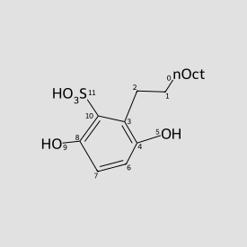 CCCCCCCCCCc1c(O)ccc(O)c1S(=O)(=O)O